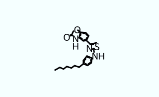 CCCCCCCc1ccc(Nc2nc(-c3ccc4c(c3)NC(=O)CO4)cs2)cc1